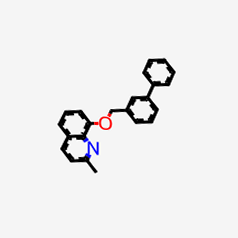 Cc1ccc2cccc(OCc3cccc(-c4ccccc4)c3)c2n1